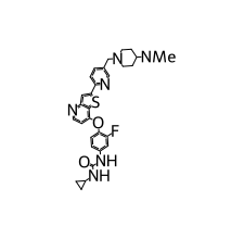 CNC1CCN(Cc2ccc(-c3cc4nccc(Oc5ccc(NC(=O)NC6CC6)cc5F)c4s3)nc2)CC1